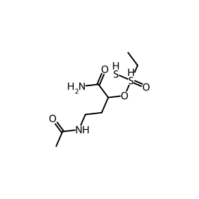 CC[SH](=O)(S)OC(CCNC(C)=O)C(N)=O